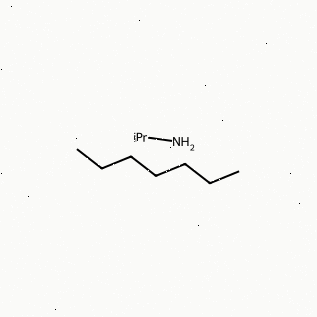 CC(C)N.CCCCCCC